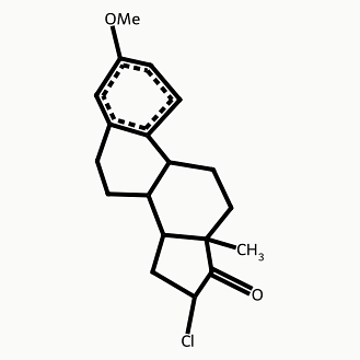 COc1ccc2c(c1)CCC1C2CCC2(C)C(=O)C(Cl)CC12